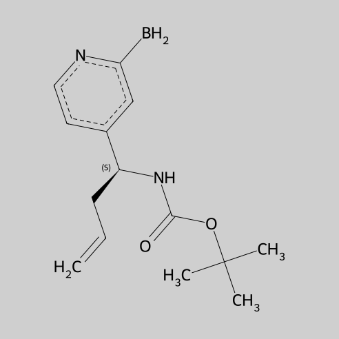 Bc1cc([C@H](CC=C)NC(=O)OC(C)(C)C)ccn1